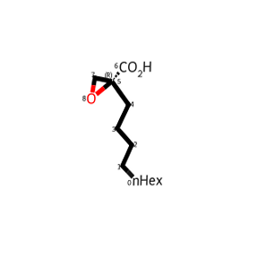 CCCCCCCCCC[C@]1(C(=O)O)CO1